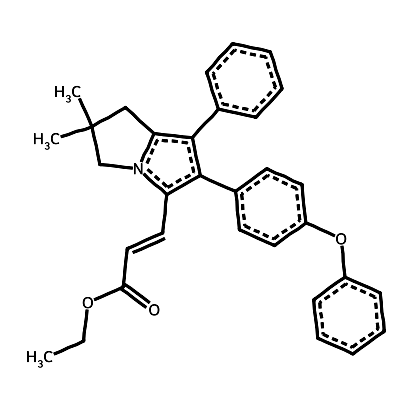 CCOC(=O)C=Cc1c(-c2ccc(Oc3ccccc3)cc2)c(-c2ccccc2)c2n1CC(C)(C)C2